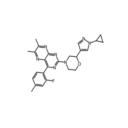 Cc1ccc(-c2nc(N3CCOC(c4cnn(C5CC5)c4)C3)nc3nc(C)c(C)nc23)c(F)c1